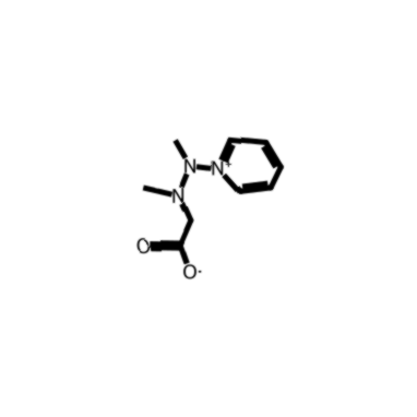 CN(CC([O])=O)N(C)[n+]1ccccc1